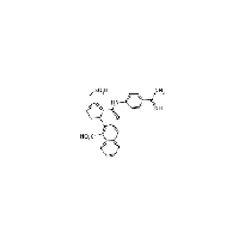 CS(=O)(=O)O.N=C(N)c1ccc(NC(=O)c2ccccc2-c2ccc3ccccc3c2C(=O)O)cc1